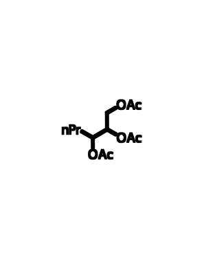 CCCC(OC(C)=O)C(COC(C)=O)OC(C)=O